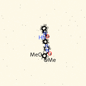 COc1cc(OC)cc(C(=O)N2CCN(c3ccc(NC(=O)N4Cc5ccccc5C4)cc3)CC2)c1